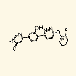 Cn1cnc(-c2ccc(-c3ccc(O[C@@H]4CCCC[C@@H]4F)nn3)c(O)c2)cc1=O